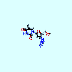 COC[C@H]1O[C@@H](n2cc(C)c(=O)[nH]c2=O)CC1N=[N+]=[N-]